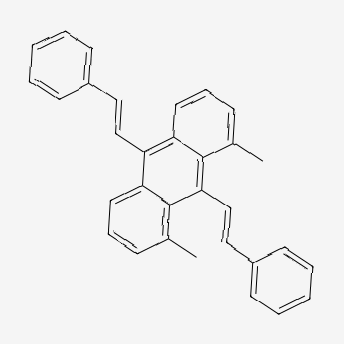 Cc1cccc2c(C=Cc3ccccc3)c3cccc(C)c3c(C=Cc3ccccc3)c12